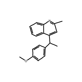 COc1ccc(C(C)c2cc(C)nc3ccccc23)cc1